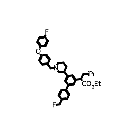 CCOC(=O)C(CC(C)C)c1cc(-c2ccc(CF)cc2)cc(C2CCCN(Cc3ccc(Oc4ccc(F)cc4)cc3)C2)c1